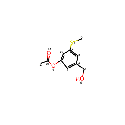 CSc1cc(CO)cc(OC(C)=O)c1